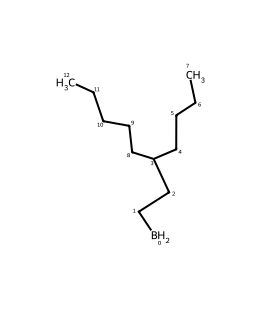 BCCC(CCCC)CCCCC